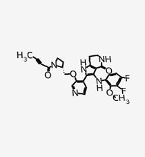 CC#CC(=O)N1CC[C@@H]1COc1cnccc1-c1[nH]c2c(c1Nc1ccc(F)c(F)c1OC)C(=O)NCC2